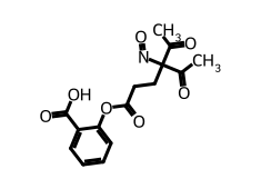 CC(=O)C(CCC(=O)Oc1ccccc1C(=O)O)(N=O)C(C)=O